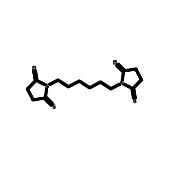 O=C1CCC(=S)N1CCCCCCN1C(=O)CCC1=S